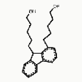 OCCCCCc1cccc2c1C(CCCCCO)c1ccccc1-2